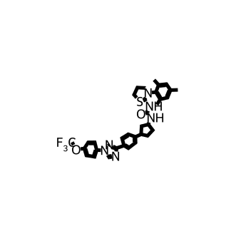 Cc1cc(C)c(N2CCCSC2NC(=O)NC2CCC(c3ccc(-c4ncn(-c5ccc(OC(F)(F)F)cc5)n4)cc3)C2)c(C)c1